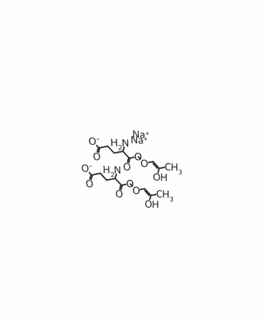 CC(O)=COOC(=O)C(N)CCC(=O)[O-].CC(O)=COOC(=O)C(N)CCC(=O)[O-].[Na+].[Na+]